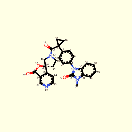 Cn1c(=O)n(-c2ccc(C3(C(=O)N4CC[C@@]5(C4)OC(=O)c4cnccc45)CC3)cc2)c2ccccc21